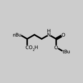 CCCCC(CCNC(=O)OC(C)(C)C)C(=O)O